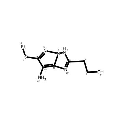 CCSc1nn2[nH]c(CCO)nc2c1N